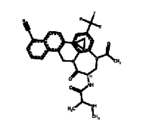 CNC(C)C(=O)N[C@H]1CN(C(C)=O)c2cc(C(F)(F)F)ccc2N(Cc2c(C3CC3)ccc3c(C#N)cccc23)C1=O